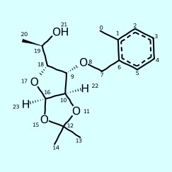 Cc1ccccc1CO[C@@H]1[C@H]2OC(C)(C)O[C@H]2O[C@@H]1[C@@H](C)O